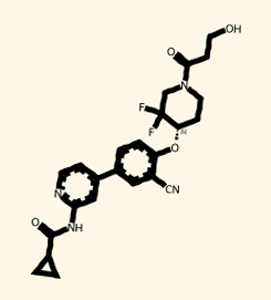 N#Cc1cc(-c2ccnc(NC(=O)C3CC3)c2)ccc1O[C@H]1CCN(C(=O)CCO)CC1(F)F